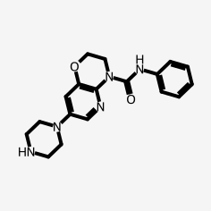 O=C(Nc1ccccc1)N1CCOc2cc(N3CCNCC3)cnc21